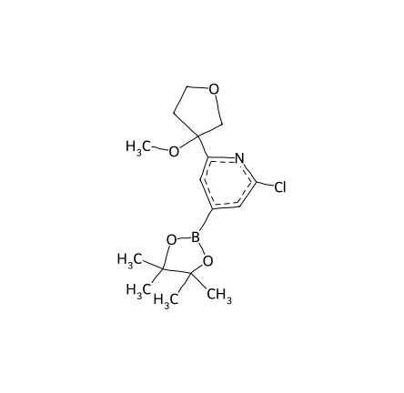 COC1(c2cc(B3OC(C)(C)C(C)(C)O3)cc(Cl)n2)CCOC1